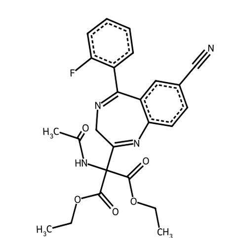 CCOC(=O)C(NC(C)=O)(C(=O)OCC)C1=Nc2ccc(C#N)cc2C(c2ccccc2F)=NC1